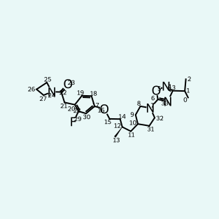 CC(C)c1noc(N2CCC(C[C@@H](C)CCOc3ccc(CC(=O)N4CCC4)c(F)c3)CC2)n1